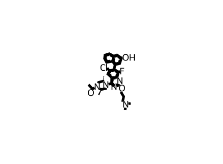 CC(=O)N1C[C@H](C)N(c2nc(OCCCN(C)C)nc3c(F)c(-c4cc(O)cc5ccccc45)c(Cl)cc23)C[C@H]1C